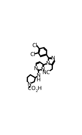 N#CCc1cnc(-c2ccc(Cl)c(Cl)c2)n1-c1ccnc(NC2CCCN(C(=O)O)C2)n1